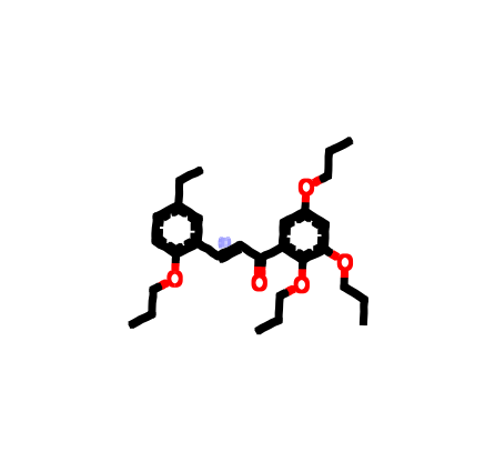 CCCOc1cc(OCCC)c(OCCC)c(C(=O)/C=C/c2cc(CC)ccc2OCCC)c1